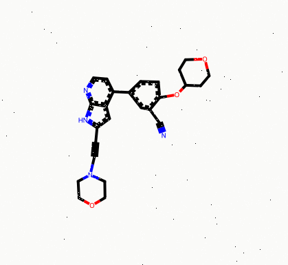 N#Cc1cc(-c2ccnc3[nH]c(C#CN4CCOCC4)cc23)ccc1OC1CCOCC1